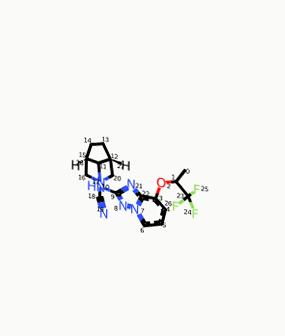 CC(Oc1cccn2nc(NC3[C@@H]4CC[C@@H]3CN(C#N)C4)nc12)C(F)(F)F